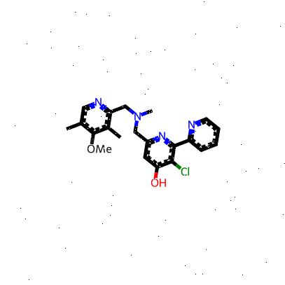 COc1c(C)cnc(CN(C)Cc2cc(O)c(Cl)c(-c3ccccn3)n2)c1C